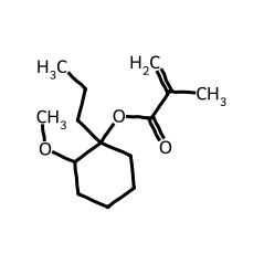 C=C(C)C(=O)OC1(CCC)CCCCC1OC